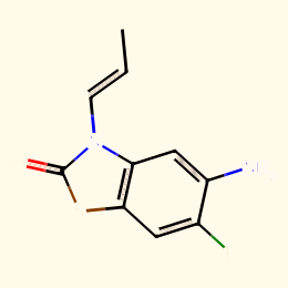 CC=Cn1c(=O)sc2cc(F)c(N)cc21